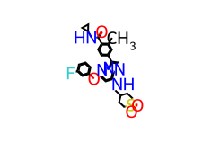 Cc1cc(-c2cnc3c(NCC4CCS(=O)(=O)CC4)cc(Oc4cccc(F)c4)nn23)ccc1C(=O)NC1CC1